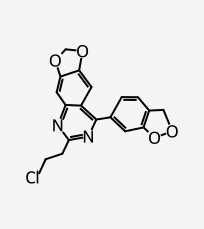 ClCCc1nc(-c2ccc3c(c2)OOC3)c2cc3c(cc2n1)OCO3